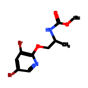 CC(COc1ncc(Br)cc1Br)NC(=O)OC(C)(C)C